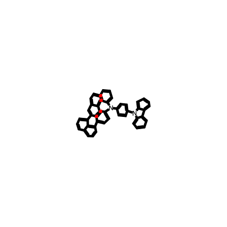 c1ccc(N(c2ccc(-c3cccc4cccc(-c5ccc6ccccc6c5)c34)cc2)c2ccc(-n3c4ccccc4c4ccccc43)cc2)cc1